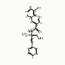 CCC(C)(C#Cc1ccccc1)NC(=O)c1cnc2c(F)cccc2c1